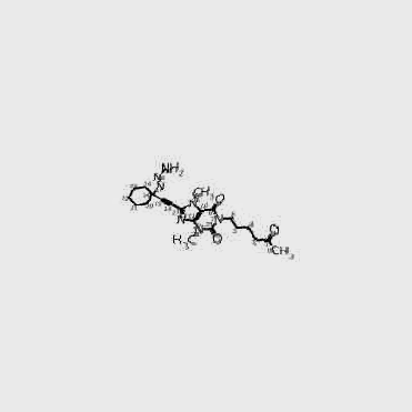 CC(=O)CCCCn1c(=O)c2c(nc(C#CC3(N=NN)CCCCC3)n2C)n(C)c1=O